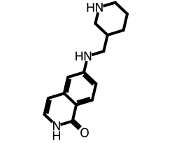 O=c1[nH]ccc2cc(NCC3CCCNC3)ccc12